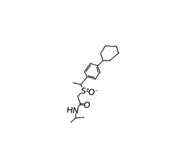 CC(C)NC(=O)C[S+]([O-])C(C)c1ccc(C2CCCCC2)cc1